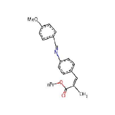 CCCOC(=O)C(C)=Cc1ccc(N=Cc2ccc(OC)cc2)cc1